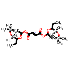 CCC(OC(C)OC(=O)/C=C/C(=O)OC(C)OC(CC)[Si](C)(C)O[Si](C)(C)C)[Si](C)(C)O[Si](C)(C)C